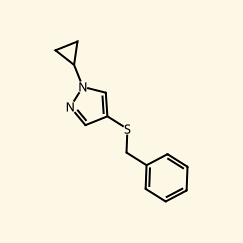 c1ccc(CSc2cnn(C3CC3)c2)cc1